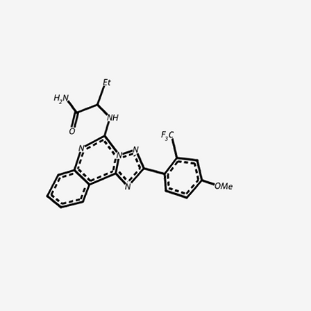 CCC(Nc1nc2ccccc2c2nc(-c3ccc(OC)cc3C(F)(F)F)nn12)C(N)=O